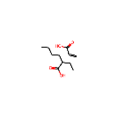 C=CC(=O)O.CCCCC(CC)C(=O)O